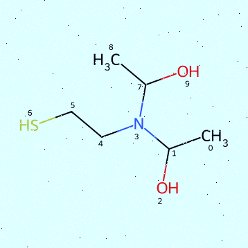 CC(O)N(CCS)C(C)O